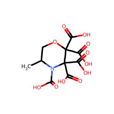 CC1COC(C(=O)O)(C(=O)O)C(C(=O)O)(C(=O)O)N1C(=O)O